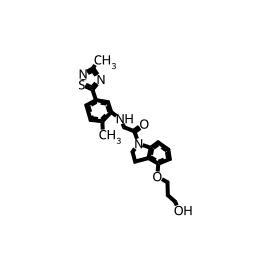 Cc1nsc(-c2ccc(C)c(NCC(=O)N3CCc4c(OCCCO)cccc43)c2)n1